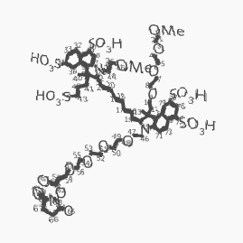 COCCOCCOCCOCCC1(C)\C(=C/C=C/C=C/C=C/C2=[N+](CCOC)c3cc(S(=O)(=O)O)c4ccc(S(=O)(=O)O)cc4c3C2(C)CCCS(=O)(=O)O)N(CCOCCOCCOCCOCCC(=O)ON2C(=O)CCC2=O)c2ccc3c(S(=O)(=O)O)cc(S(=O)(=O)O)cc3c21